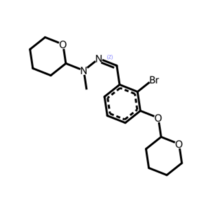 CN(/N=C\c1cccc(OC2CCCCO2)c1Br)C1CCCCO1